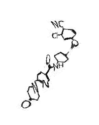 N#Cc1ccc(O[C@H]2CC[C@H](NC(=O)c3ccc(N4CCC(=O)CC4)nc3)CC2)cc1Cl